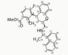 COC(=O)c1ccc(F)c([C@@H]2C[C@H](CNC(C)c3cccc4ccccc34)Oc3ccccc32)c1C